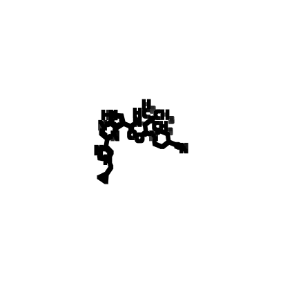 CC(C)(C)[C@@H](NC(=O)c1c[nH]c2ncc(-c3cn(CC4CC4)cn3)nc12)C(=O)N1CCC(C#N)CC1